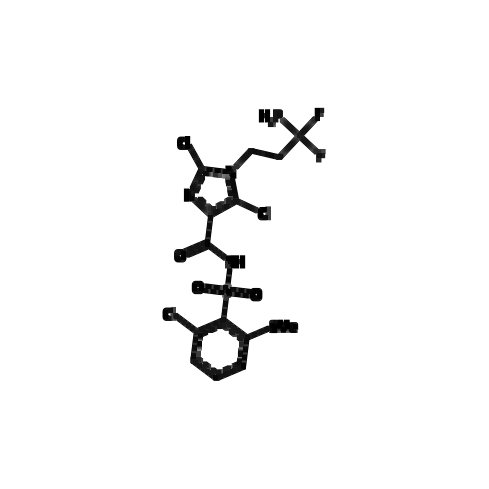 CSc1cccc(Cl)c1S(=O)(=O)NC(=O)c1nc(Cl)n(CCC(F)(F)P)c1Cl